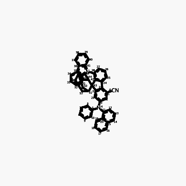 N#Cc1cc(N(c2ccccc2)c2cccc3ccccc23)cc2c1-c1cccc(-n3c4ccccc4c4ccccc43)c1C21C2CC3CC(C2)CC1C3